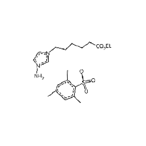 CCOC(=O)CCCCCn1cc[n+](N)c1.Cc1cc(C)c(S(=O)(=O)[O-])c(C)c1